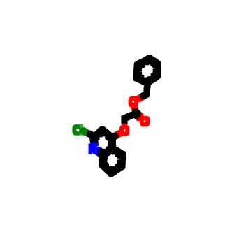 O=C(COc1cc(Cl)nc2ccccc12)OCc1ccccc1